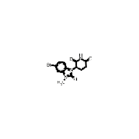 CCc1ccc2c(c1)n(C)c(=O)n2C1CCC(=O)NC1=O